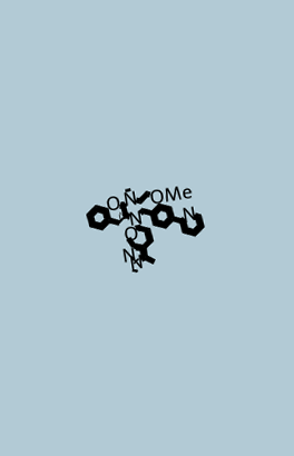 COCCN(C)C(=O)[C@H](Cc1ccccc1)N(Cc1ccc(-c2ccccn2)cc1)C(=O)C=Cc1c(C)nn(C)c1C